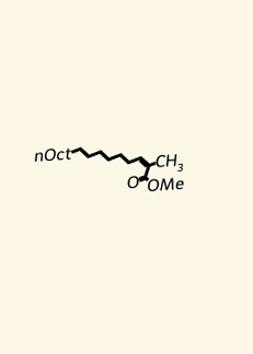 CCCCCCCCCCCCCCC=C(C)C(=O)OC